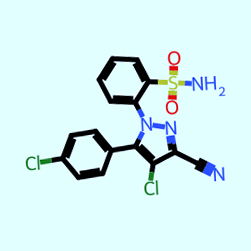 N#Cc1nn(-c2ccccc2S(N)(=O)=O)c(-c2ccc(Cl)cc2)c1Cl